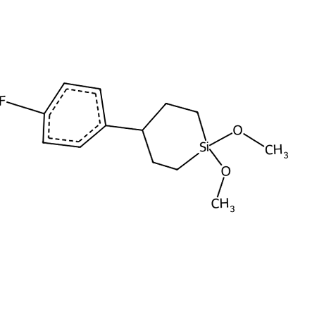 CO[Si]1(OC)CCC(c2ccc(F)cc2)CC1